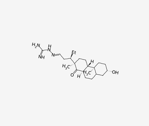 CC[C@H](C/C=N/NC(=N)N)[C@@]1(C)CC[C@H]2[C@@H](CCC3C[C@@H](O)CC[C@@]32C)C1=O